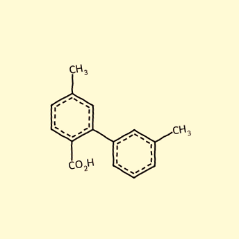 Cc1cccc(-c2cc(C)ccc2C(=O)O)c1